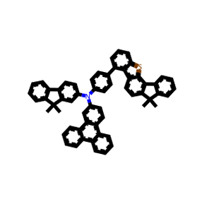 CC1(C)c2ccccc2-c2ccc(N(c3ccc(-c4cccc5sc6c7c(ccc6c45)C(C)(C)c4ccccc4-7)cc3)c3ccc4c5ccccc5c5ccccc5c4c3)cc21